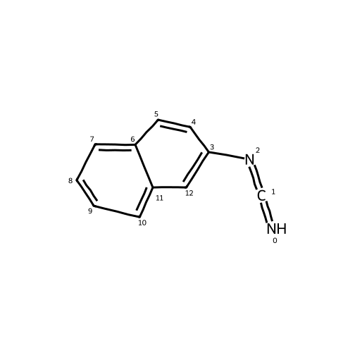 N=C=Nc1ccc2ccccc2c1